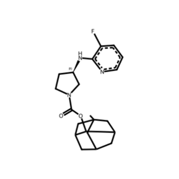 CC12CC3CC(C1)C(OC(=O)N1CC[C@@H](Nc4ncccc4F)C1)C(C3)C2